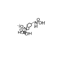 CC(C)(C)OC(=O)n1c(B(O)O)cc2cc(CNC(=O)O)ccc21